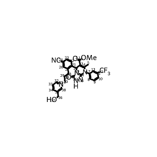 COC(=O)C1=C(C)N(c2cccc(C(F)(F)F)c2)c2n[nH]c(=O)n2C1c1ccc(C#N)cc1CCC[n+]1cccc(CO)c1